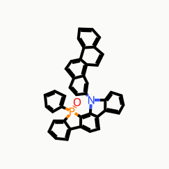 O=P1(c2ccccc2)c2ccccc2-c2ccc3c4ccccc4n(-c4ccc5ccc6c7ccccc7ccc6c5c4)c3c21